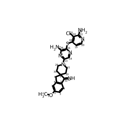 COc1ccc2c(c1)CC1(CCN(c3cnc(Sc4ccnc(N)c4Cl)c(N)n3)CC1)C2=N